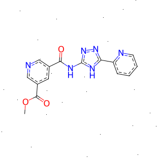 COC(=O)c1cncc(C(=O)Nc2nnc(-c3ccccn3)[nH]2)c1